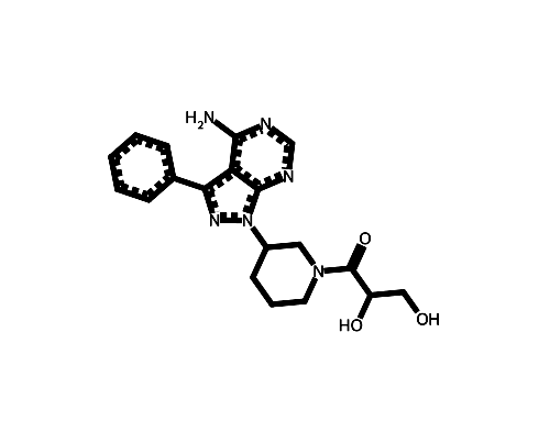 Nc1ncnc2c1c(-c1ccccc1)nn2C1CCCN(C(=O)C(O)CO)C1